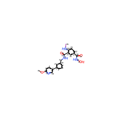 COc1ccc(-c2cccc(CNC(=O)c3cc(C(=O)NO)ccc3NI)c2)cn1